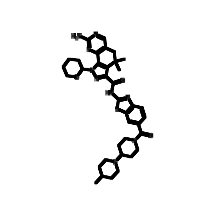 CC1CCN(C2CCN(C(=O)c3ccc4nc(NC(=O)c5nn(C6CCCCO6)c6c5C(C)(C)Cc5cnc(N)nc5-6)sc4c3)CC2)CC1